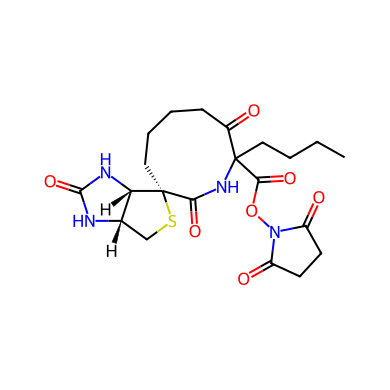 CCCCC1(C(=O)ON2C(=O)CCC2=O)NC(=O)[C@@]2(CCCCC1=O)SC[C@@H]1NC(=O)N[C@@H]12